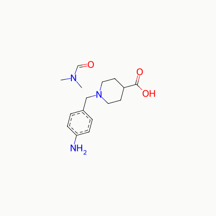 CN(C)C=O.Nc1ccc(CN2CCC(C(=O)O)CC2)cc1